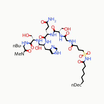 CCCCCCCCCCCCCCCC(=O)NS(=O)(=O)CCCC(=O)NCC(=O)N[C@@H](CO)C(=O)N[C@@H](CCC(N)=O)C(=O)N[C@@H](Cc1c[nH]cn1)[C@H](O)N[C@@H](CO)C(=O)N[C@@H](CCCC)C(=O)NC